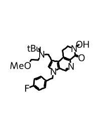 COCCN(Cc1cn(Cc2ccc(F)cc2)c2cnc3c(c12)CCN(O)C3=O)C(C)(C)C